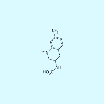 CN1CC(NC(=O)O)Cc2ccc(C(F)(F)F)cc21